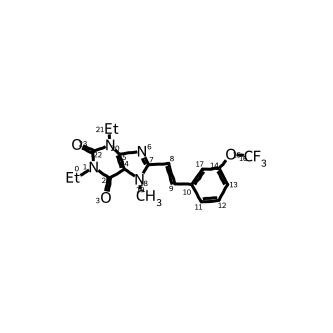 CCn1c(=O)c2c(nc(C=Cc3cccc(OC(F)(F)F)c3)n2C)n(CC)c1=O